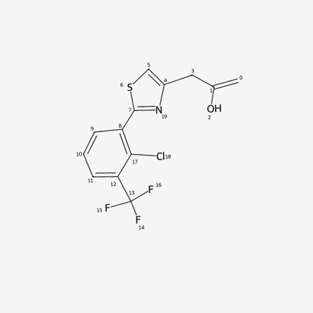 C=C(O)Cc1csc(-c2cccc(C(F)(F)F)c2Cl)n1